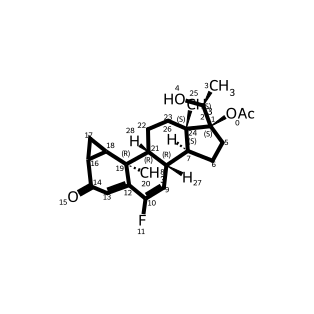 CC(=O)O[C@@]1([C@H](C)O)CC[C@H]2[C@@H]3C=C(F)C4=CC(=O)C5CC5[C@@]4(C)[C@@H]3CC[C@@]21C